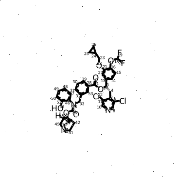 O=C(O[C@@H](Cc1c(Cl)cncc1Cl)c1ccc(OC(F)F)c(OCC2CC2)c1)c1cccc(CN(C(=O)O[C@H]2CN3CCC2CC3)c2ccccc2O)c1